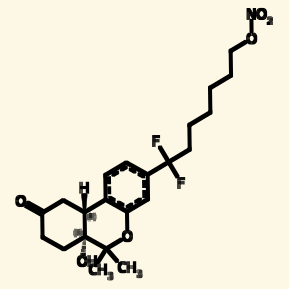 CC1(C)Oc2cc(C(F)(F)CCCCCCO[N+](=O)[O-])ccc2[C@H]2CC(=O)CC[C@@]21O